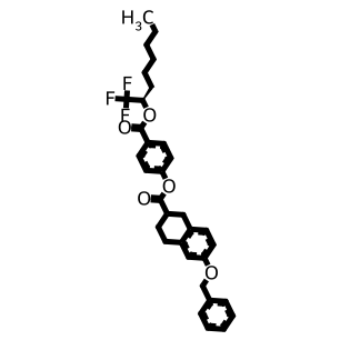 CCCCCC[C@@H](OC(=O)c1ccc(OC(=O)C2CCc3cc(OCc4ccccc4)ccc3C2)cc1)C(F)(F)F